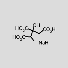 CC(C(=O)O)C(O)(CC(=O)O)C(=O)O.[NaH]